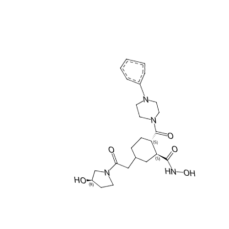 O=C(NO)[C@H]1CC(CC(=O)N2CC[C@@H](O)C2)CC[C@@H]1C(=O)N1CCN(c2ccccc2)CC1